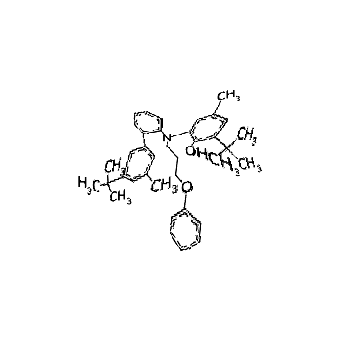 Cc1cc(-c2ccccc2N(CCCOc2ccccc2)c2cc(C)cc(C(C)(C)C)c2O)cc(C(C)(C)C)c1